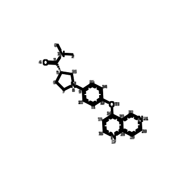 CN(C)C(=O)[C@H]1CCN(c2ccc(Oc3ccnc4ccncc34)cc2)C1